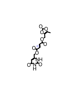 Cc1oc(=O)oc1COC(=O)/C=C/C(=O)OCc1cc(=O)[nH]c(=O)[nH]1